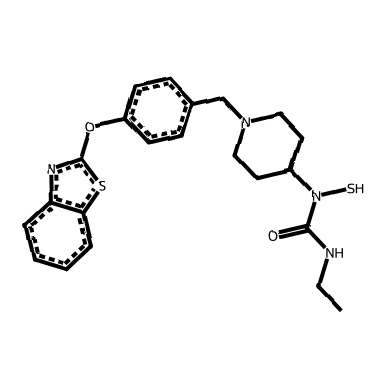 CCNC(=O)N(S)C1CCN(Cc2ccc(Oc3nc4ccccc4s3)cc2)CC1